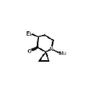 CCC1CCN(C(C)(C)C)C2(CC2)C1=O